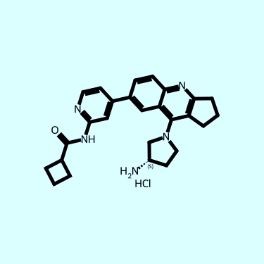 Cl.N[C@H]1CCN(c2c3c(nc4ccc(-c5ccnc(NC(=O)C6CCC6)c5)cc24)CCC3)C1